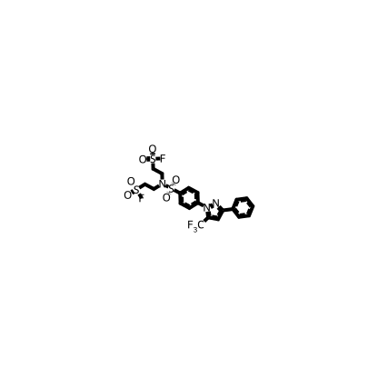 O=S(=O)(F)CCN(CCS(=O)(=O)F)S(=O)(=O)c1ccc(-n2nc(-c3ccccc3)cc2C(F)(F)F)cc1